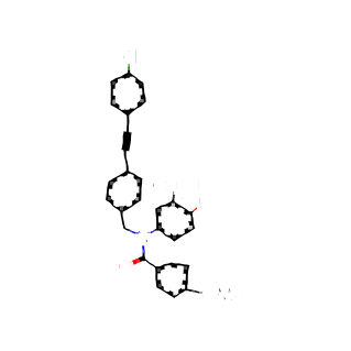 COc1ccc(C(=O)N(Cc2ccc(C#Cc3ccc(Cl)cc3)cc2)c2ccc(O)c(C(=O)O)c2)cc1